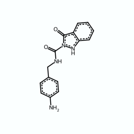 Nc1ccc(CNC(=O)n2[nH]c3ccccc3c2=O)cc1